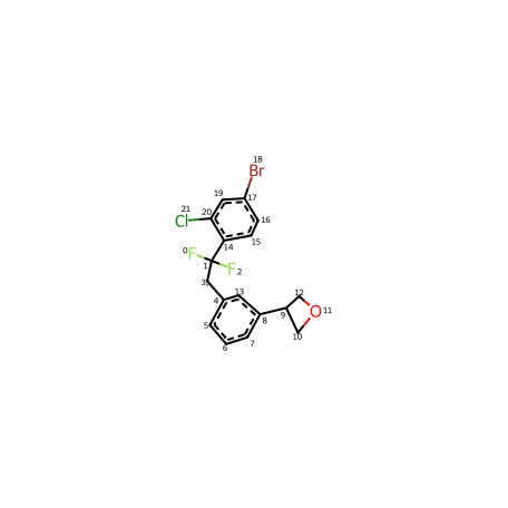 FC(F)([CH]c1cccc(C2COC2)c1)c1ccc(Br)cc1Cl